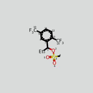 CCC(OS(C)(=O)=O)c1cc(C(F)(F)F)ccc1C(F)(F)F